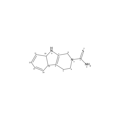 NC(=S)N1CCC2=C(C1)NC1C=CC=CC21